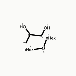 CC(O)CO.CCCCCCOCCCCCC